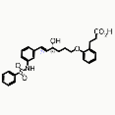 O=C(O)CCc1ccccc1OCCC[C@@H](O)/C=C/c1cccc(NS(=O)(=O)c2ccccc2)c1